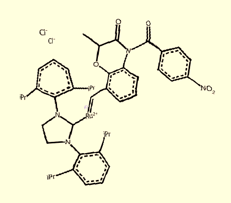 CC1Oc2c(/[CH]=[Ru+2]/[CH]3N(c4c(C(C)C)cccc4C(C)C)CCN3c3c(C(C)C)cccc3C(C)C)cccc2N(C(=O)c2ccc([N+](=O)[O-])cc2)C1=O.[Cl-].[Cl-]